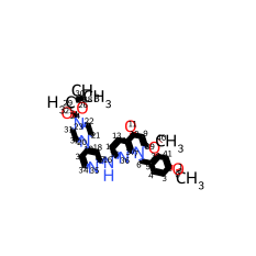 COc1ccc(Cn2ccc(=O)c3ccc(Nc4cc(N5CCN(C(=O)OC(C)(C)C)CC5)ccn4)nc32)c(OC)c1